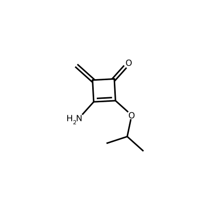 C=C1C(=O)C(OC(C)C)=C1N